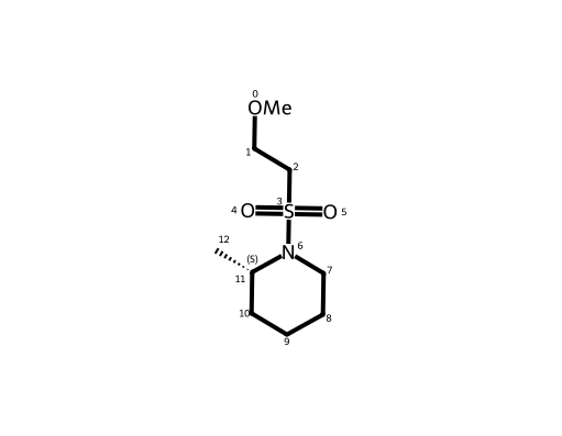 COCCS(=O)(=O)N1CCCC[C@@H]1C